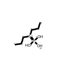 CCCS(CCC)=P(O)(O)O